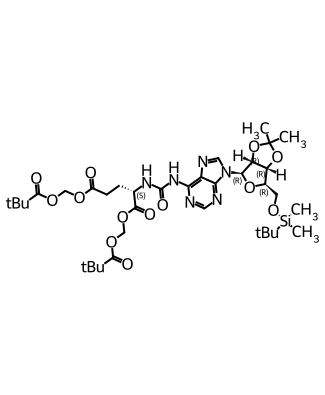 CC1(C)O[C@@H]2[C@H](O1)[C@@H](CO[Si](C)(C)C(C)(C)C)O[C@H]2n1cnc2c(NC(=O)N[C@@H](CCC(=O)OCOC(=O)C(C)(C)C)C(=O)OCOC(=O)C(C)(C)C)ncnc21